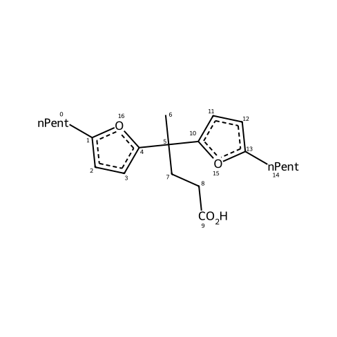 CCCCCc1ccc(C(C)(CCC(=O)O)c2ccc(CCCCC)o2)o1